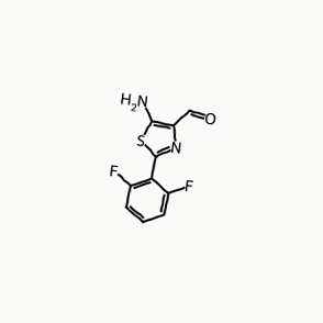 Nc1sc(-c2c(F)cccc2F)nc1C=O